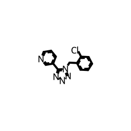 Clc1ccccc1Cn1nnnc1-c1cccnc1